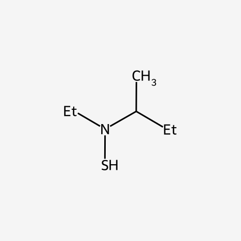 CCC(C)N(S)CC